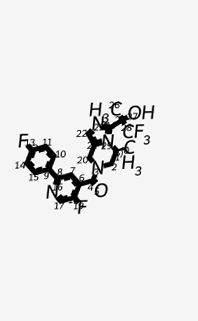 C[C@H]1CN(C(=O)c2cc(-c3ccc(F)cc3)ncc2F)Cc2cnc(C(C)(O)C(F)(F)F)n21